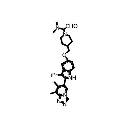 Cc1c(-c2[nH]c3ccc(OCC4CCN(C(C=O)N(C)C)CC4)cc3c2C(C)C)cn2cnnc2c1C